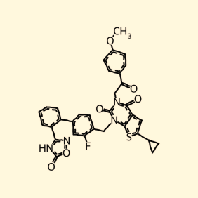 COc1ccc(C(=O)Cn2c(=O)c3cc(C4CC4)sc3n(Cc3ccc(-c4ccccc4-c4noc(=O)[nH]4)cc3F)c2=O)cc1